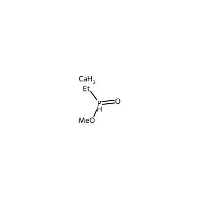 CC[PH](=O)OC.[CaH2]